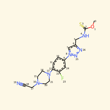 COC(=S)NCc1cn(-c2ccc(N3CCN(CC#N)CC3)c(F)c2)nn1